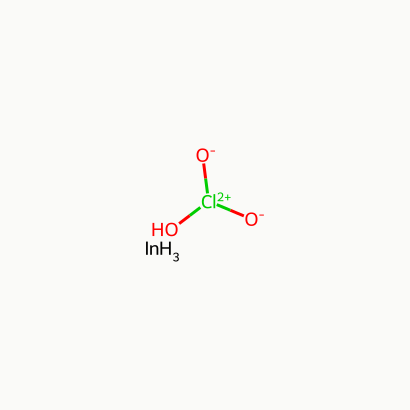 [InH3].[O-][Cl+2]([O-])O